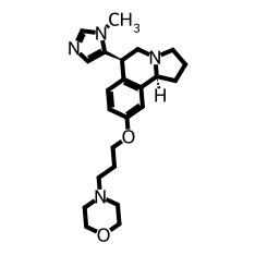 Cn1cncc1[C@H]1CN2CCC[C@H]2c2cc(OCCCN3CCOCC3)ccc21